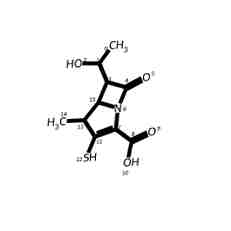 CC(O)C1C(=O)N2C(C(=O)O)=C(S)C(C)C12